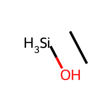 CC.O[SiH3]